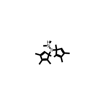 CC1=C[C](C)([Ti]([SiH](C)C)[C]2(C)C=C(C)C(C)=C2C)C(C)=C1C